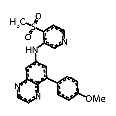 COc1ccc(-c2cc(Nc3cnccc3S(C)(=O)=O)cc3nccnc23)cc1